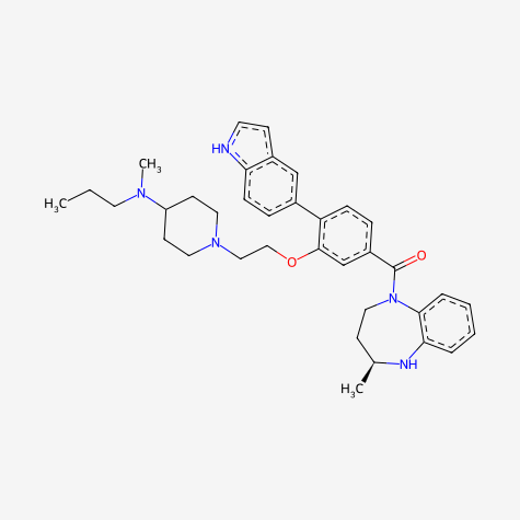 CCCN(C)C1CCN(CCOc2cc(C(=O)N3CC[C@H](C)Nc4ccccc43)ccc2-c2ccc3[nH]ccc3c2)CC1